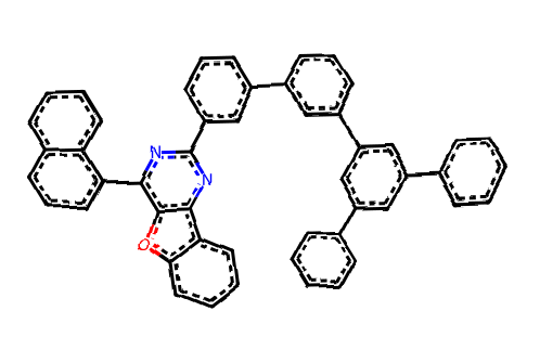 c1ccc(-c2cc(-c3ccccc3)cc(-c3cccc(-c4cccc(-c5nc(-c6cccc7ccccc67)c6oc7ccccc7c6n5)c4)c3)c2)cc1